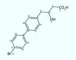 O=C(O)CC(O)Cc1ccc(-c2ccc(Br)cc2)cc1